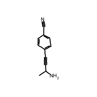 CC(N)C#Cc1ccc(C#N)cc1